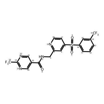 O=C(NCc1cc(S(=O)(=O)c2cccc(C(F)(F)F)c2)ccn1)c1cnc(C(F)(F)F)nc1